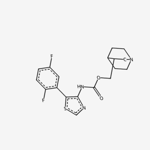 O=C(Nc1ncsc1-c1cc(F)ccc1F)OCC1CN2CCC1CC2